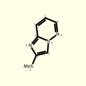 CSc1cn2ncccc2n1